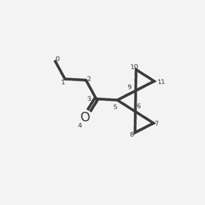 CCCC(=O)C1C2(CC2)C12CC2